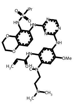 C=CC(=O)Nc1cc(Nc2ncnc(Nc3ccc4c(c3NS(=O)(=O)C(C)C)OCCO4)n2)c(OC)cc1N(C)CCN(C)C